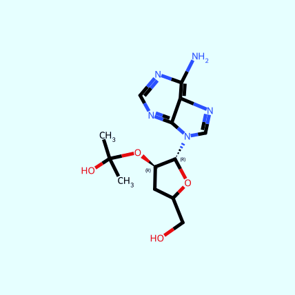 CC(C)(O)O[C@@H]1CC(CO)O[C@H]1n1cnc2c(N)ncnc21